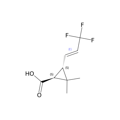 CC1(C)[C@@H](/C=C/C(F)(F)F)[C@@H]1C(=O)O